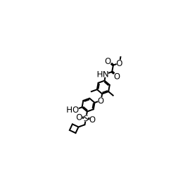 COC(=O)C(=O)Nc1cc(C)c(Oc2ccc(O)c(S(=O)(=O)CC3CCC3)c2)c(C)c1